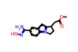 COC(=O)CC1CCn2c1cc1cc(C(N)=NO)ccc12